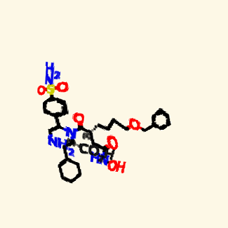 NCC(c1ccc(S(N)(=O)=O)cc1)N(C(=O)[C@H](CCCCOCc1ccccc1)CC(=O)NO)[C@@H](CC1CCCCC1)C(=O)O